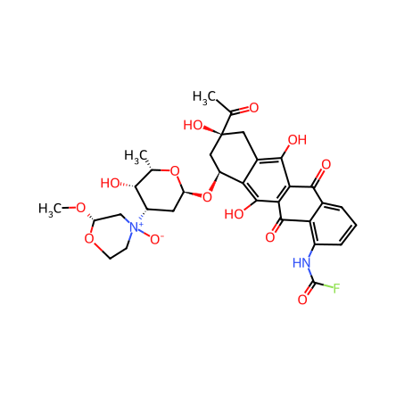 CO[C@@H]1C[N+]([O-])([C@H]2C[C@H](O[C@H]3C[C@](O)(C(C)=O)Cc4c(O)c5c(c(O)c43)C(=O)c3c(NC(=O)F)cccc3C5=O)O[C@@H](C)[C@H]2O)CCO1